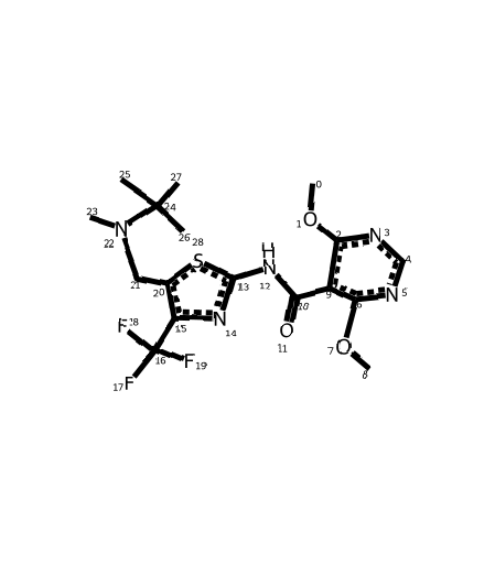 COc1ncnc(OC)c1C(=O)Nc1nc(C(F)(F)F)c(CN(C)C(C)(C)C)s1